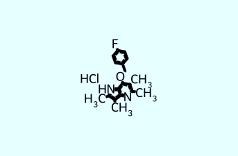 Cc1nc2c(C)c(C)[nH]c2c(OCc2ccc(F)cc2)c1C.Cl